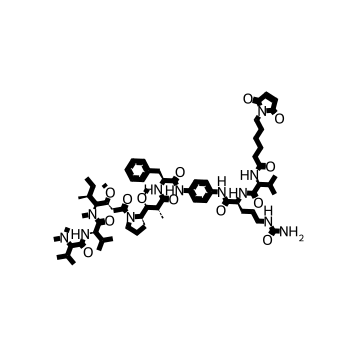 CC[C@H](C)[C@@H]([C@@H](CC(=O)N1CCC[C@H]1[C@H](OC)[C@@H](C)C(=O)N[C@@H](Cc1ccccc1)C(=O)Nc1ccc(NC(=O)[C@H](CCCNC(N)=O)NC(=O)[C@@H](NC(=O)CCCCCN2C(=O)C=CC2=O)C(C)C)cc1)OC)N(C)C(=O)[C@@H](NC(=O)C(C(C)C)N(C)C)C(C)C